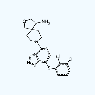 NC1COCC12CCN(c1ncc(Sc3cccc(Cl)c3Cl)c3nncn13)CC2